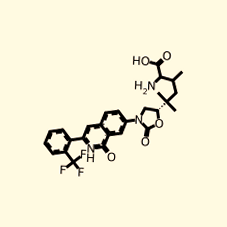 CC(CC(C)(C)[C@H]1CN(c2ccc3cc(-c4ccccc4C(F)(F)F)[nH]c(=O)c3c2)C(=O)O1)C(N)C(=O)O